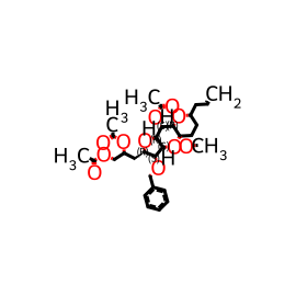 C=CCC1CCC2(OC)O[C@@H]3[C@@H](O[C@H](CC(COC(C)=O)OC(C)=O)[C@@H]3OCc3ccccc3)[C@H](OC(C)=O)[C@H]2O1